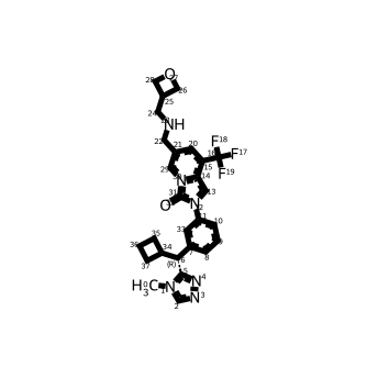 Cn1cnnc1[C@@H](c1cccc(-n2cc3c(C(F)(F)F)cc(CNCC4COC4)cn3c2=O)c1)C1CCC1